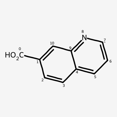 O=C(O)c1ccc2cc[c]nc2c1